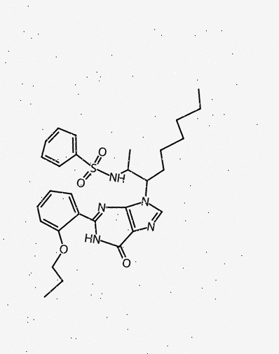 CCCCCCC(C(C)NS(=O)(=O)c1ccccc1)n1cnc2c(=O)[nH]c(-c3ccccc3OCCC)nc21